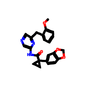 COc1ccccc1Cc1cncc(NC(=O)C2(c3ccc4c(c3)OCO4)CC2)n1